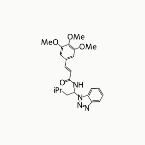 COc1cc(C=CC(=O)NC(CC(C)C)n2nnc3ccccc32)cc(OC)c1OC